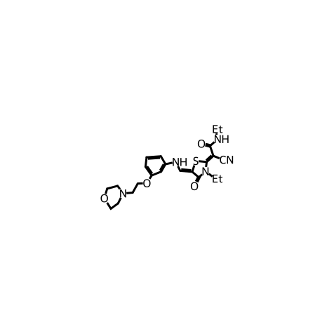 CCNC(=O)C(C#N)=c1sc(=CNc2cccc(OCCN3CCOCC3)c2)c(=O)n1CC